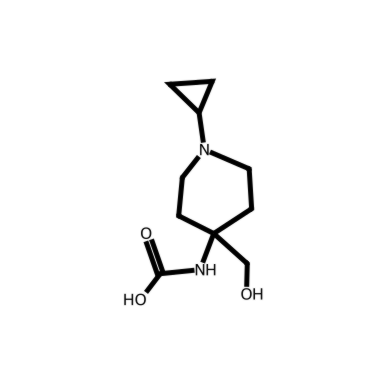 O=C(O)NC1(CO)CCN(C2CC2)CC1